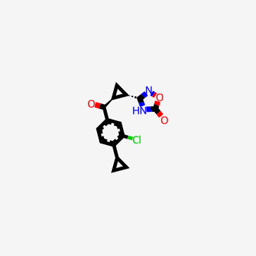 O=C(c1ccc(C2CC2)c(Cl)c1)[C@H]1C[C@@H]1c1noc(=O)[nH]1